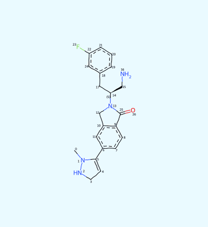 CN1NCC=C1c1ccc2c(c1)CN([C@H](CN)Cc1cccc(F)c1)C2=O